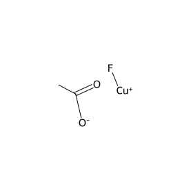 CC(=O)[O-].[F][Cu+]